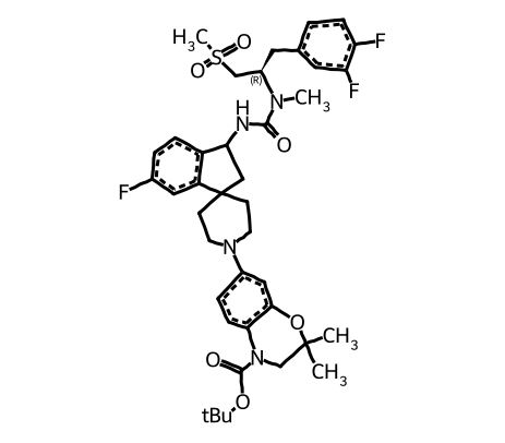 CN(C(=O)NC1CC2(CCN(c3ccc4c(c3)OC(C)(C)CN4C(=O)OC(C)(C)C)CC2)c2cc(F)ccc21)[C@H](Cc1ccc(F)c(F)c1)CS(C)(=O)=O